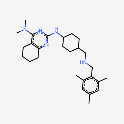 Cc1cc(C)c(CNCC2CCC(Nc3nc4c(c(N(C)C)n3)CCCC4)CC2)c(C)c1